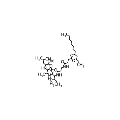 CCCCCCCCC(CCCC)OC(=O)CCC(=O)NCCC(=O)NC(C(=O)NC(C)C(=O)NC(CC(C)C)C(=O)O)C(C)CC